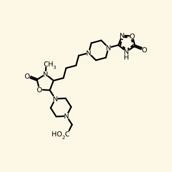 CN1C(=O)OC(N2CCN(CC(=O)O)CC2)C1CCCCN1CCN(c2noc(=O)[nH]2)CC1